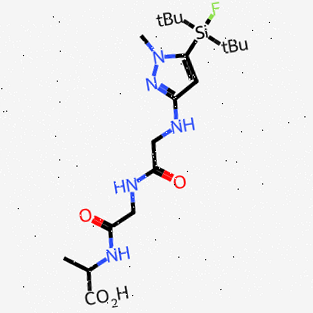 CC(NC(=O)CNC(=O)CNc1cc([Si](F)(C(C)(C)C)C(C)(C)C)n(C)n1)C(=O)O